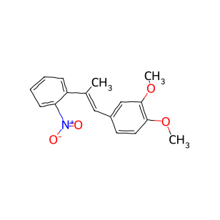 COc1ccc(/C=C(\C)c2ccccc2[N+](=O)[O-])cc1OC